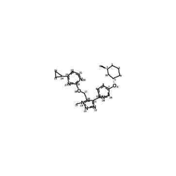 C[C@H]1CCC[C@H](Oc2ccc(-c3nnn(C)c3COc3nccc(C4CC4)n3)nc2)C1